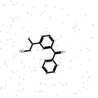 CC(CO)c1cccc(C(=O)c2ccccc2)c1